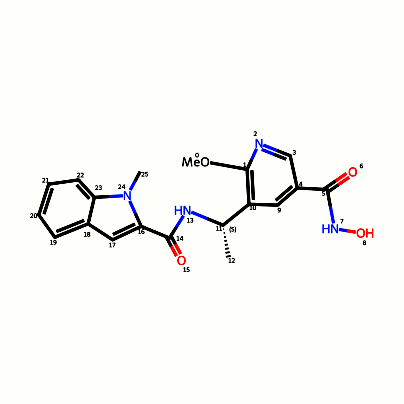 COc1ncc(C(=O)NO)cc1[C@H](C)NC(=O)c1cc2ccccc2n1C